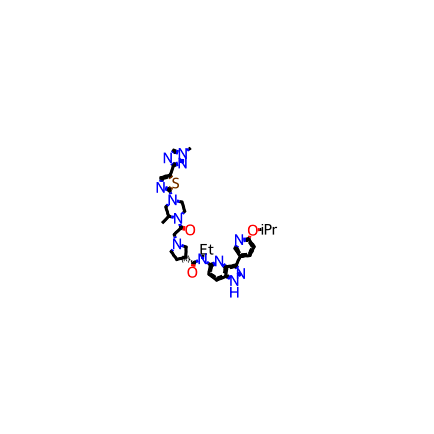 CCN(C(=O)[C@@H]1CCN(CC(=O)N2CCN(c3ncc(-c4ncn(C)n4)s3)CC2C)C1)c1ccc2[nH]nc(-c3ccc(OC(C)C)nc3)c2n1